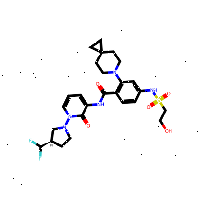 O=C(Nc1cccn(N2CC[C@@H](C(F)F)C2)c1=O)c1ccc(NS(=O)(=O)CCO)cc1N1CCC2(CC1)CC2